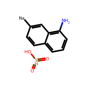 Nc1cccc2cc[c]([Na])cc12.O=[SH](=O)O